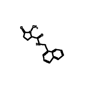 CN1C(=O)CCC1C(=O)NCc1cccc2ccccc12